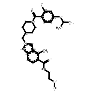 COCCNC(=O)c1ccc2nn(CC3CCN(C(=O)c4ccc(OC(C)C)cc4F)CC3)cc2c1C